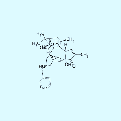 CC1=C[C@H]2[C@@]3(O)[C@H](C)C[C@]4(OC(=O)[C@@H](N)C/C=C/c5ccccc5)[C@H]([C@@H]3C=C(CO)C[C@]2(O)C1=O)C4(C)C